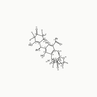 CC(C)C(=O)c1c(O)c([C@H](C2=C(O)C(C)(C)C(=O)C(C)(C)C2=O)C(C)C)c(O)c2c1O[C@]13OC(C)(C)C[C@H]1[C@H]2C(C)(C)C(=O)C3(C)C